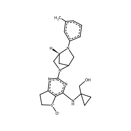 Cc1cccc(N2CC3C[C@@H]2CN3c2nc3c(c(NC4(CO)CC4)n2)[S+]([O-])CC3)c1